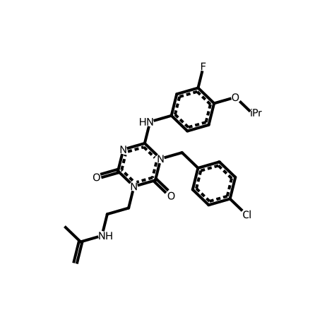 C=C(C)NCCn1c(=O)nc(Nc2ccc(OC(C)C)c(F)c2)n(Cc2ccc(Cl)cc2)c1=O